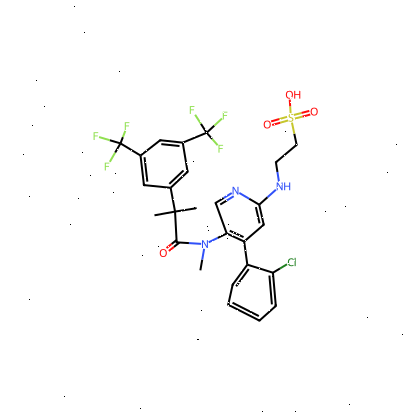 CN(C(=O)C(C)(C)c1cc(C(F)(F)F)cc(C(F)(F)F)c1)c1cnc(NCCS(=O)(=O)O)cc1-c1ccccc1Cl